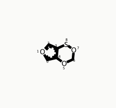 c1occ2c1OCOS2